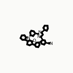 N#Cc1cccc(-c2cc(-c3ccccc3)nc(-c3cccc(-n4c5ccccc5c5ccc6c7ccccc7oc6c54)c3)n2)c1